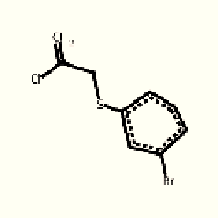 C=C(Cl)CSc1cccc(Br)c1